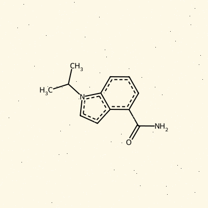 CC(C)n1ccc2c(C(N)=O)cccc21